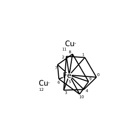 [CH]12[CH]3[CH]4[CH]5[CH]1[Fe]23451678[CH]2[CH]1[CH]6[CH]7[CH]28.[Cu].[Cu]